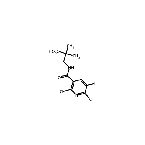 CC(C)(CNC(=O)c1cc(F)c(Cl)nc1Cl)C(=O)O